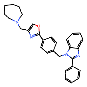 c1ccc(-c2nc3ccccc3n2Cc2ccc(-c3nc(CN4CCCCCC4)co3)cc2)cc1